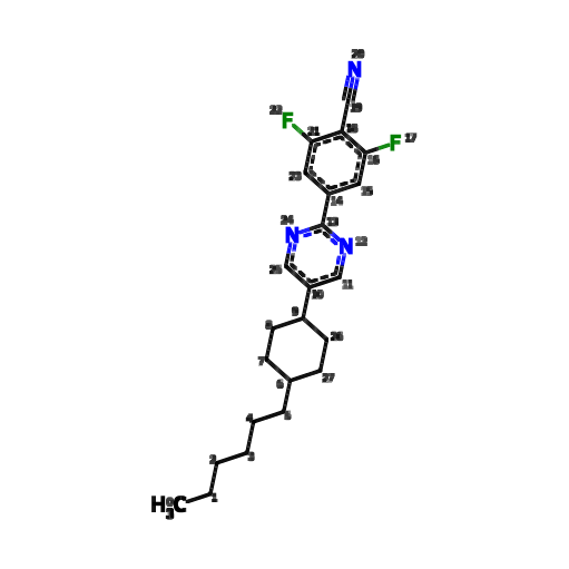 CCCCCCC1CCC(c2cnc(-c3cc(F)c(C#N)c(F)c3)nc2)CC1